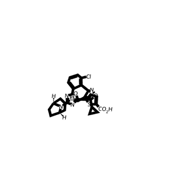 O=C(O)c1ccc(-c2nc(N3[C@@H]4CC[C@H]3CC(OCc3c(-c5c(Cl)cccc5Cl)noc3C3CC3)C4)no2)s1